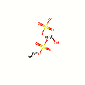 O=S(=O)(O)O.O=S(=O)([O-])[O-].O=S(=O)([O-])[O-].[Fe+2].[Fe+2]